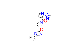 O=C(c1cccnc1-n1nccn1)N1CCCC(Oc2cnc(C(F)(F)F)cn2)C1